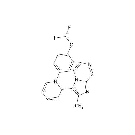 FC(F)Oc1ccc(N2C=CC=CC2c2c(C(F)(F)F)nc3cnccn23)cc1